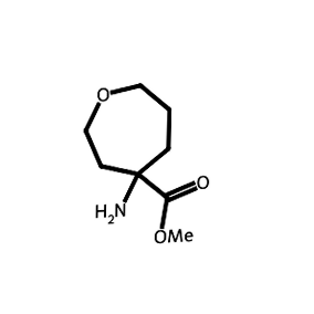 COC(=O)C1(N)CCCOCC1